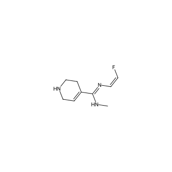 CN/C(=N\C=C/F)C1=CCNCC1